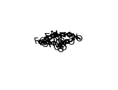 COCCN(CC1CCN(c2ccc(-n3cnc4ccc(Oc5c(F)ccc(NS(=O)(=O)N6CC[C@@H](F)C6)c5C#N)cc4c3=O)cc2)CC1)C1CC(Oc2ccc3c(c2)CN([C@@H]2C(=O)NC(=O)C(=O)C2=O)C3=O)C1